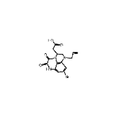 C=CCN1CC(CC(=O)O)n2c(=O)c(=O)[nH]c3cc(Br)cc1c32